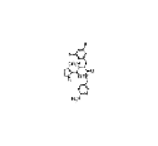 Cc1cc[nH]c1C(=O)N[C@@H](Cc1cc(F)cc(F)c1)C(=O)NCc1ccc(N)nc1